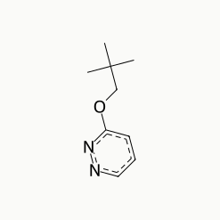 CC(C)(C)COc1cccnn1